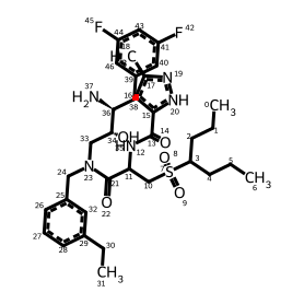 CCCC(CCC)S(=O)(=O)CC(NC(=O)c1cc(C)n[nH]1)C(=O)N(Cc1cccc(CC)c1)C[C@@H](O)[C@@H](N)Cc1cc(F)cc(F)c1